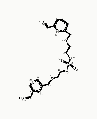 C=Cc1cccc(COCCOS(=O)(=O)OCCOCc2cccc(C=C)n2)n1